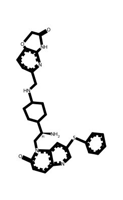 N[C@@H](Cn1c(=O)ccc2ncc(Sc3ccccc3)cc21)C1CCC(NCc2ccc3c(n2)NC(=O)CO3)CC1